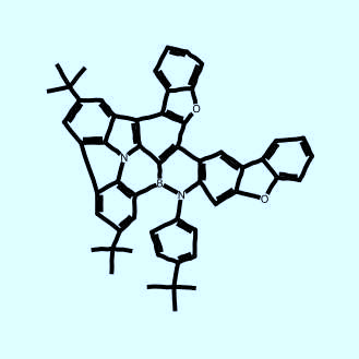 CC(C)(C)c1ccc(N2B3c4cc(C(C)(C)C)cc5c6cc(C(C)(C)C)cc7c8c9c(oc%10ccccc%109)c(c3c8n(c45)c67)-c3cc4c(cc32)oc2ccccc24)cc1